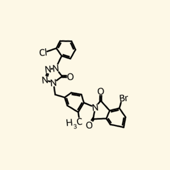 Cc1cc(Cn2nnn(-c3ccccc3Cl)c2=O)ccc1N1C(=O)c2cccc(Br)c2C1=O